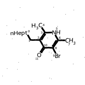 CCCCCCCCc1c(C)[nH]c(C)c(Br)c1=O